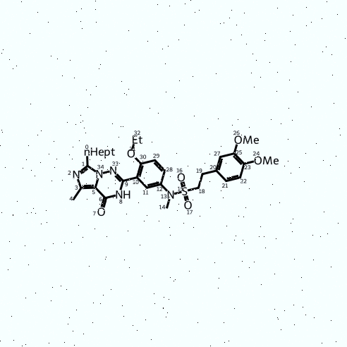 CCCCCCCc1nc(C)c2c(=O)[nH]c(-c3cc(N(C)S(=O)(=O)CCc4ccc(OC)c(OC)c4)ccc3OCC)nn12